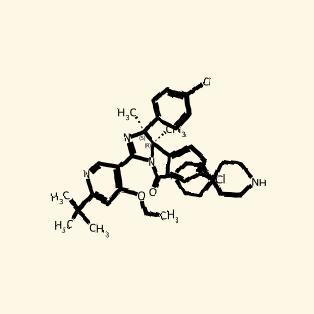 CCOc1cc(C(C)(C)C)ncc1C1=N[C@@](C)(c2ccc(Cl)cc2)[C@@](C)(c2ccc(Cl)cc2)N1C(=O)N1CCC2(CCNCC2)CC1